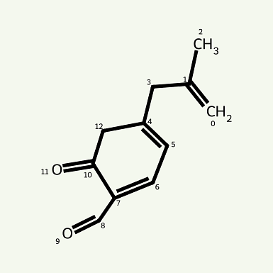 C=C(C)CC1=CC=C(C=O)C(=O)C1